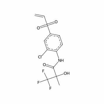 C=CS(=O)(=O)c1ccc(NC(=O)C(C)(O)C(F)(F)F)c(Cl)c1